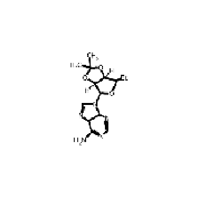 CCC1OC(N2C=NC3C(N)=NC=NC32)[C@@H]2OC(C)(C)O[C@H]12